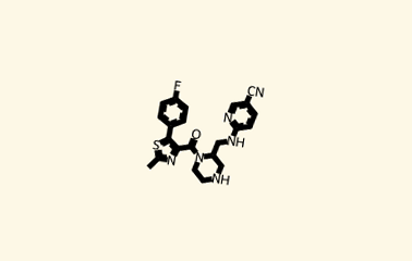 Cc1nc(C(=O)N2CCNCC2CNc2ccc(C#N)cn2)c(-c2ccc(F)cc2)s1